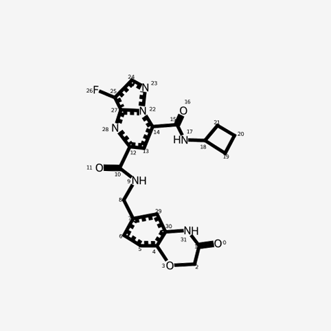 O=C1COc2ccc(CNC(=O)c3cc(C(=O)NC4CCC4)n4ncc(F)c4n3)cc2N1